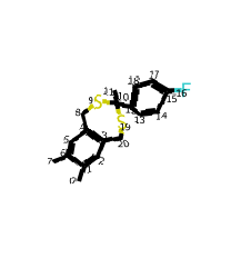 Cc1cc2c(cc1C)CSC(C)(c1ccc(F)cc1)SC2